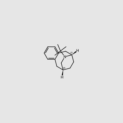 CC(C)(C)N1C[C@@H]2CC[C@H]1Cc1ccccc1C2